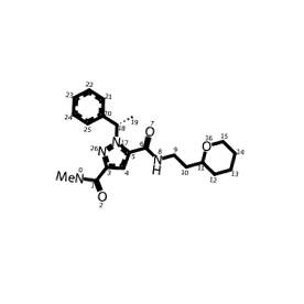 CNC(=O)c1cc(C(=O)NCCC2CCCCO2)n([C@@H](C)c2ccccc2)n1